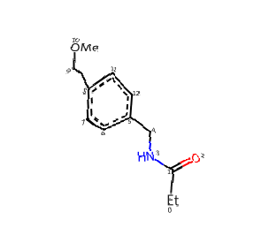 CCC(=O)NCc1ccc(COC)cc1